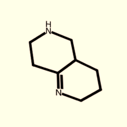 C1CN=C2CCNCC2C1